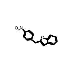 O=[N+]([O-])c1ccc(Cc2cc3ccccc3o2)cc1